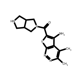 Cc1nnc2sc(C(=O)N3CC4CNCC4C3)c(N)c2c1C